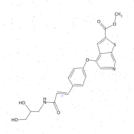 COC(=O)c1cc2c(Oc3ccc(/C=C/C(=O)NCC(O)CO)cc3)cncc2s1